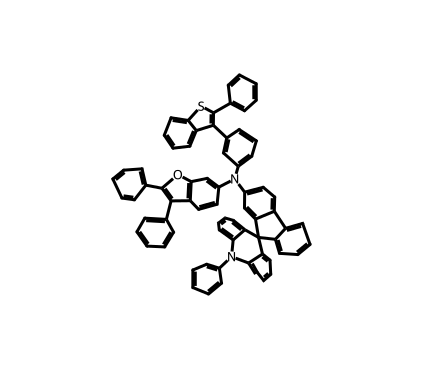 c1ccc(-c2oc3cc(N(c4cccc(-c5c(-c6ccccc6)sc6ccccc56)c4)c4ccc5c(c4)C4(c6ccccc6-5)c5ccccc5N(c5ccccc5)c5ccccc54)ccc3c2-c2ccccc2)cc1